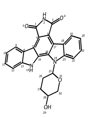 O=C1NC(=O)c2c1c1c3ccccc3[nH]c1c1c2c2ccccc2n1C1CCC(O)CO1